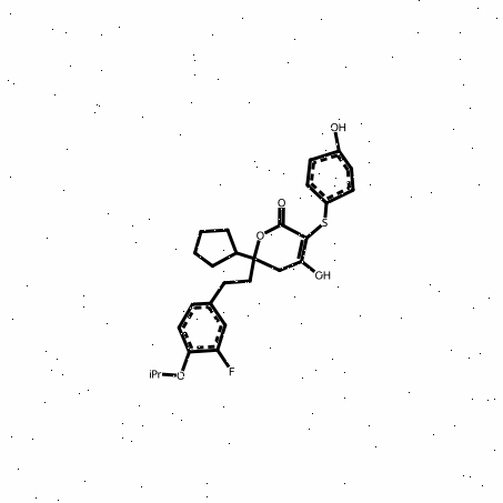 CC(C)Oc1ccc(CCC2(C3CCCC3)CC(O)=C(Sc3ccc(O)cc3)C(=O)O2)cc1F